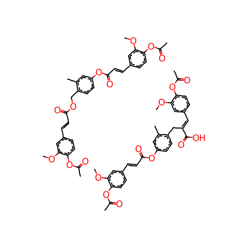 COc1cc(/C=C/C(=O)OCc2ccc(OC(=O)/C=C/c3ccc(OC(C)=O)c(OC)c3)cc2C)ccc1OC(C)=O.COc1cc(/C=C/C(=O)Oc2ccc(C/C(=C\c3ccc(OC(C)=O)c(OC)c3)C(=O)O)c(C)c2)ccc1OC(C)=O